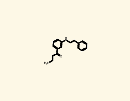 NCCC(=O)c1cccc(NCCc2ccccc2)c1